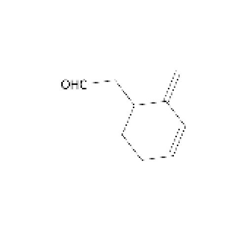 C=C1C=CCCC1CC=O